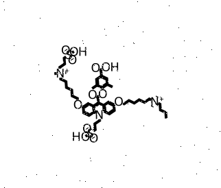 CCCC[N+](C)(C)CCCCCCOc1ccc2c(c1)c(C(=O)Oc1c(C)cc(C(=O)O)cc1C)c1cc(OCCCCCC[N+](C)(C)CCCS(=O)(=O)O)ccc1[n+]2CCCS(=O)(=O)O